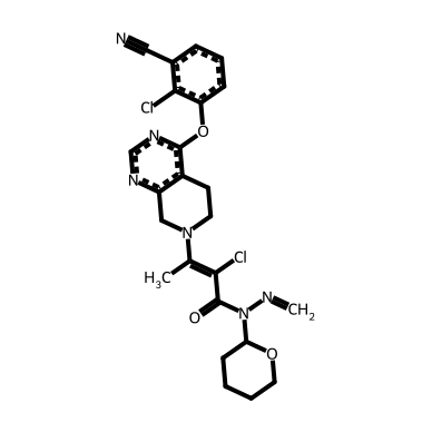 C=NN(C(=O)/C(Cl)=C(\C)N1CCc2c(ncnc2Oc2cccc(C#N)c2Cl)C1)C1CCCCO1